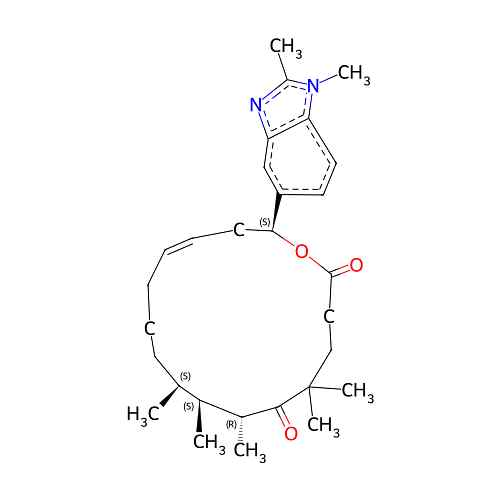 Cc1nc2cc([C@@H]3CC=CCCC[C@H](C)[C@H](C)[C@@H](C)C(=O)C(C)(C)CCC(=O)O3)ccc2n1C